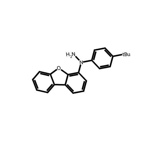 CC(C)(C)c1ccc(N(N)c2cccc3c2oc2ccccc23)cc1